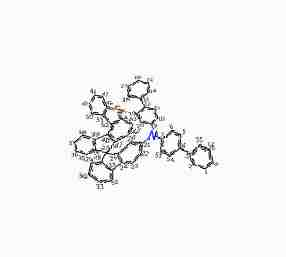 c1ccc(-c2ccc(N(c3ccc(-c4ccccc4)cc3)c3ccc4c(c3)C3(c5ccccc5-4)c4ccccc4-c4c3ccc3sc5ccccc5c43)cc2)cc1